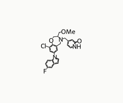 COCC1COc2c(Cl)cc(-n3ccc4cc(F)ccc43)cc2CN1Cc1cc[nH]c(=O)c1